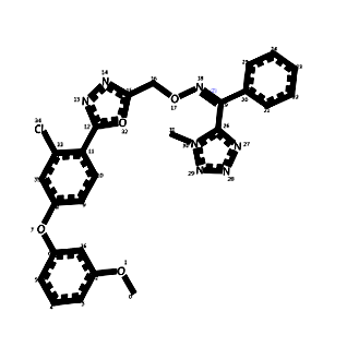 COc1cccc(Oc2ccc(-c3nnc(CO/N=C(/c4ccccc4)c4nnnn4C)o3)c(Cl)c2)c1